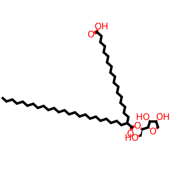 CCCCCCCCCCCCCCCCCCCCCCCCC(CCCCCCCCCCCCCCCCCC(=O)O)C(=O)O[C@H](CO)[C@H]1OC[C@H](O)[C@H]1O